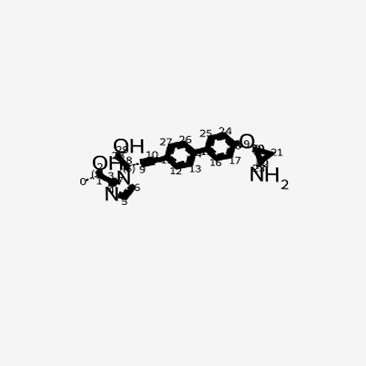 C[C@H](O)c1nccn1[C@@H](C#Cc1ccc(-c2ccc(O[C@@H]3C[C@H]3N)cc2)cc1)CO